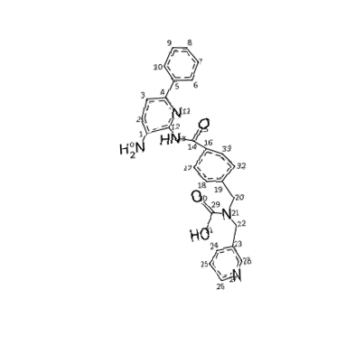 Nc1ccc(-c2ccccc2)nc1NC(=O)c1ccc(CN(Cc2cccnc2)C(=O)O)cc1